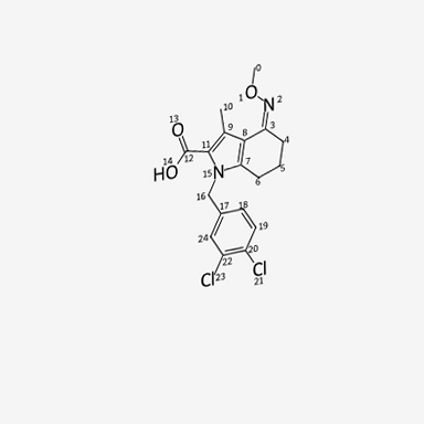 CO/N=C1/CCCc2c1c(C)c(C(=O)O)n2Cc1ccc(Cl)c(Cl)c1